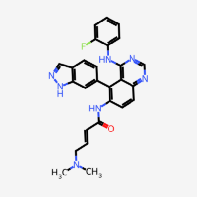 CN(C)C/C=C/C(=O)Nc1ccc2ncnc(Nc3ccccc3F)c2c1-c1ccc2cn[nH]c2c1